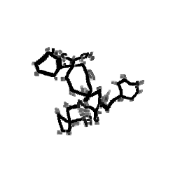 CN(C)C1(c2ccccc2)CCC2(CC1)CN(CC1CCSCC1)C(=O)N2CC1(O)CCC1